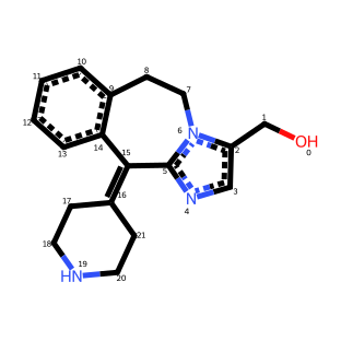 OCc1cnc2n1CCc1ccccc1C2=C1CCNCC1